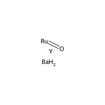 [BaH2].[O]=[Ru].[Y]